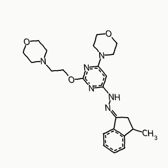 CC1C/C(=N\Nc2cc(N3CCOCC3)nc(OCCN3CCOCC3)n2)c2ccccc21